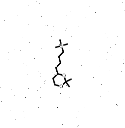 CC1(C)OCCC(CCCC[Si](C)(C)C)O1